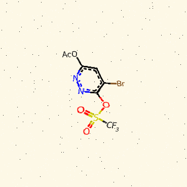 CC(=O)Oc1cc(Br)c(OS(=O)(=O)C(F)(F)F)nn1